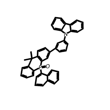 CC1(C)c2ccccc2P(=O)(c2cccc3ccccc23)c2cc(-c3cccc(-n4c5ccccc5c5ccccc54)c3)ccc21